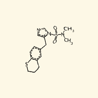 CN(C)S(=O)(=O)n1cncc1Cc1ccc2c(c1)CCCS2